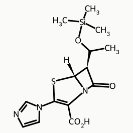 CC(O[Si](C)(C)C)[C@H]1C(=O)N2C(C(=O)O)=C(n3ccnc3)S[C@H]12